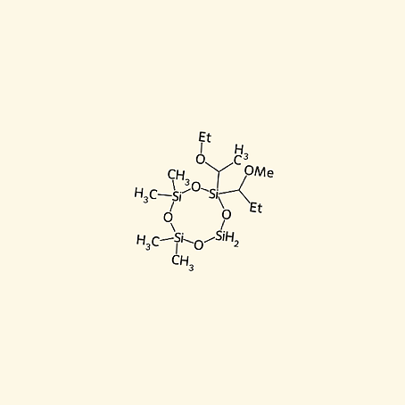 CCOC(C)[Si]1(C(CC)OC)O[SiH2]O[Si](C)(C)O[Si](C)(C)O1